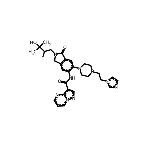 CC(C)(O)C(F)CN1Cc2cc(NC(=O)c3cnn4cccnc34)c(N3CCN(CCn4ccnc4)CC3)cc2C1=O